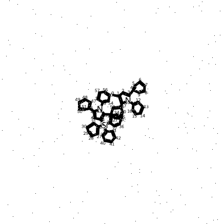 Cc1cc(-c2ccccc2)n(-c2ccccc2)c1-c1cccc(-c2c([Si](c3ccccc3)(c3ccccc3)c3ccccc3)cc(-c3ccccc3)n2-c2ccccc2)c1